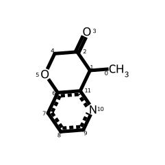 CC1C(=O)COc2cccnc21